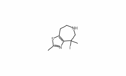 Cc1nc2c(s1)CCNCC2(C)I